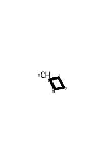 C.C1CCC1